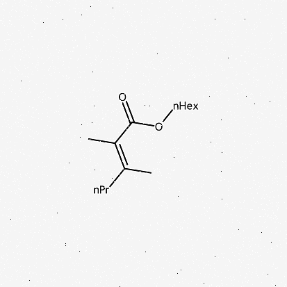 CCCCCCOC(=O)C(C)=C(C)CCC